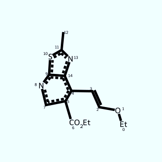 CCOC=Cc1c(C(=O)OCC)cnc2sc(C)nc12